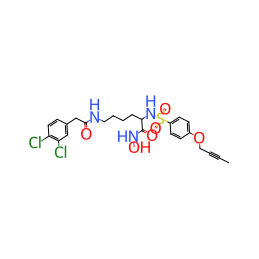 CC#CCOc1ccc(S(=O)(=O)NC(CCCCNC(=O)Cc2ccc(Cl)c(Cl)c2)C(=O)NO)cc1